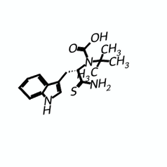 CC(C)(C)N(C(=O)O)[C@@H](Cc1c[nH]c2ccccc12)C(N)=S